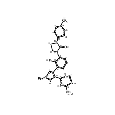 CCn1cc(-c2cccc(N3CCN(c4ccc(C(F)(F)F)cc4)C3=O)c2F)c(-c2ccnc(N)n2)n1